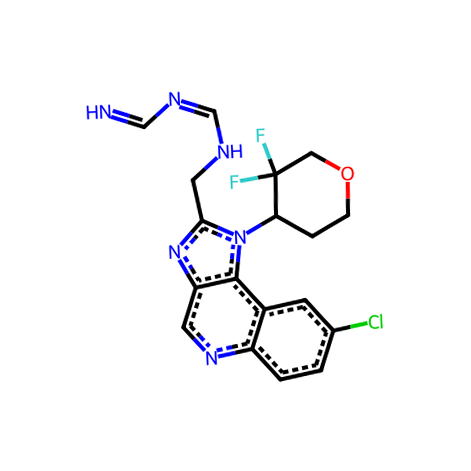 N=C/N=C\NCc1nc2cnc3ccc(Cl)cc3c2n1C1CCOCC1(F)F